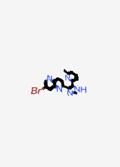 Cc1cccc(-c2[nH]cnc2-c2ccc3ncc(Br)cc3n2)n1